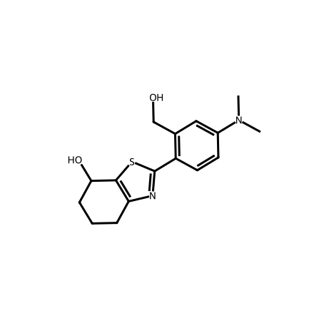 CN(C)c1ccc(-c2nc3c(s2)C(O)CCC3)c(CO)c1